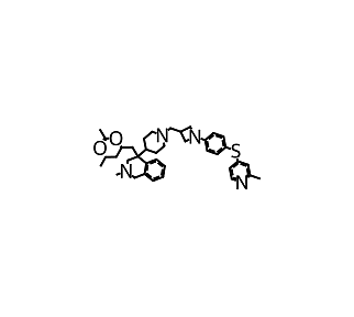 CCCC(CC1(C2CCN(CC3CN(c4ccc(Sc5ccnc(C)c5)cc4)C3)CC2)CN(C)Cc2ccccc21)OC(C)=O